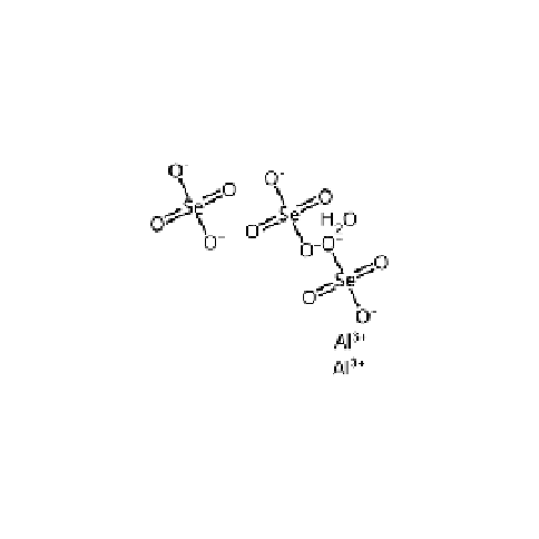 O.O=[Se](=O)([O-])[O-].O=[Se](=O)([O-])[O-].O=[Se](=O)([O-])[O-].[Al+3].[Al+3]